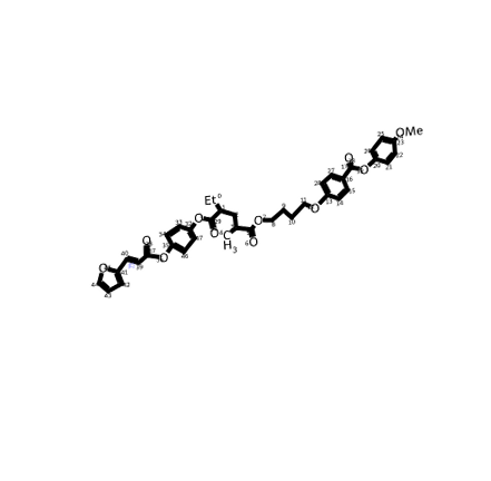 CCC(CC(C)C(=O)OCCCCOc1ccc(C(=O)Oc2ccc(OC)cc2)cc1)C(=O)Oc1ccc(OC(=O)/C=C/c2ccco2)cc1